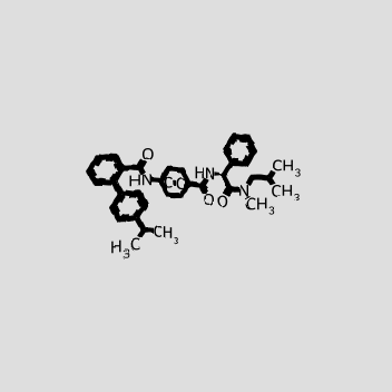 CC(C)CN(C)C(=O)[C@@H](NC(=O)C12CCC(NC(=O)c3ccccc3-c3ccc(C(C)C)cc3)(CC1)CC2)c1ccccc1